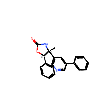 C[C@]1(c2cncc(-c3ccccc3)c2)NC(=O)O[C@@H]1c1ccccc1